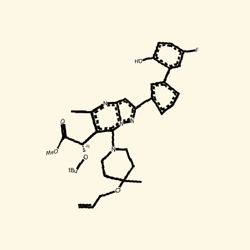 C=CCOC1(C)CCN(c2c([C@H](OC(C)(C)C)C(=O)OC)c(C)nc3cc(-c4cccc(-c5cc(F)ccc5O)c4)nn23)CC1